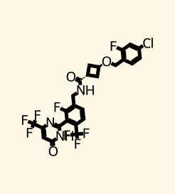 O=c1cc(C(F)(F)F)nc(-c2c(C(F)(F)F)ccc(CNC(=O)[C@H]3C[C@H](OCc4ccc(Cl)cc4F)C3)c2F)[nH]1